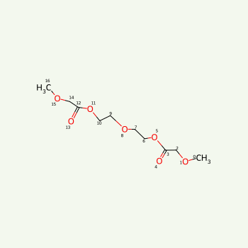 COCC(=O)OCCOCCOC(=O)COC